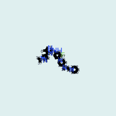 Cc1cnc(Nc2ccc(N3CCC(N(C)CCN4CCCCC4)CC3)c(F)c2)nc1-c1cnn(C(C)C)c1